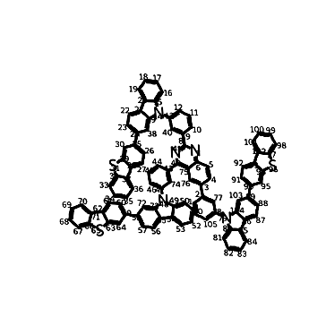 c1cc(-c2ccc3nc(-c4cccc(-n5c6ccccc6c6ccc(-c7ccc8c(c7)sc7ccccc78)cc65)c4)nc(-c4cccc(-n5c6ccccc6c6ccc(-c7ccc8c(c7)sc7ccccc78)cc65)c4)c3c2)cc(-n2c3ccccc3c3ccc(-c4ccc5c(c4)sc4ccccc45)cc32)c1